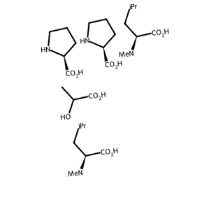 CC(O)C(=O)O.CN[C@@H](CC(C)C)C(=O)O.CN[C@@H](CC(C)C)C(=O)O.O=C(O)[C@@H]1CCCN1.O=C(O)[C@@H]1CCCN1